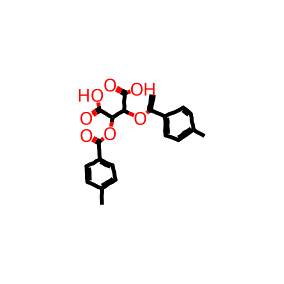 C=C(OC(C(=O)O)C(OC(=O)c1ccc(C)cc1)C(=O)O)c1ccc(C)cc1